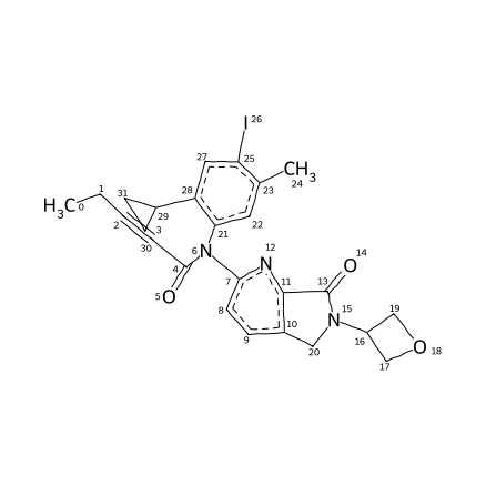 CCC#CC(=O)N(c1ccc2c(n1)C(=O)N(C1COC1)C2)c1cc(C)c(I)cc1C1CC1